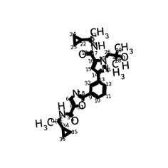 C[C@H](NC(=O)c1cnc(-c2cccc(-c3cc(C(=O)N[C@@H](C)C4CC4)n(CC(C)(C)O)n3)c2)o1)C1CC1